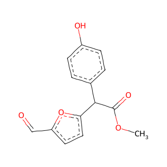 COC(=O)C(c1ccc(O)cc1)c1ccc(C=O)o1